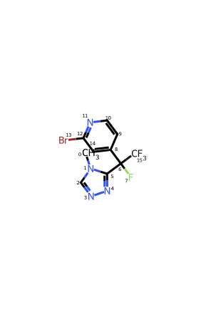 Cn1cnnc1C(F)(c1ccnc(Br)c1)C(F)(F)F